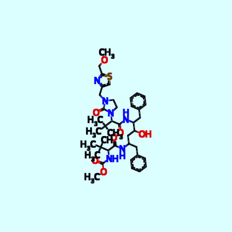 COCc1nc(CN2CCN(C(C(=O)NC(Cc3ccccc3)C(O)CC(Cc3ccccc3)NC(=O)C(NC(=O)OC)C(C)(C)C)C(C)(C)C)C2=O)cs1